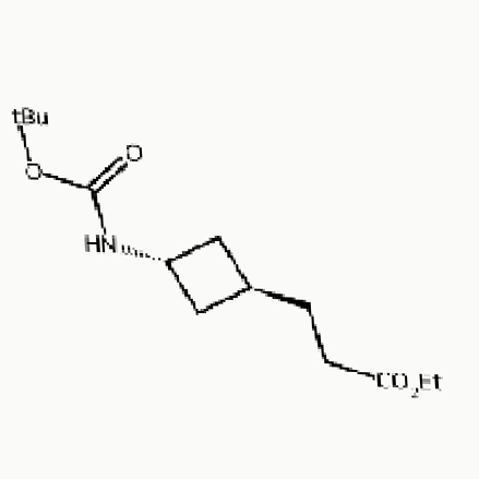 CCOC(=O)CC[C@H]1C[C@H](NC(=O)OC(C)(C)C)C1